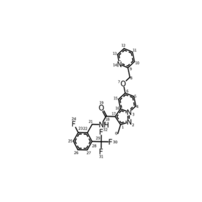 Cc1nn2ccc(OCc3ccccn3)cc2c1C(=O)NCc1c(F)cccc1C(F)(F)F